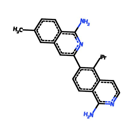 Cc1ccc2c(N)nc(-c3ccc4c(N)nccc4c3C(C)C)cc2c1